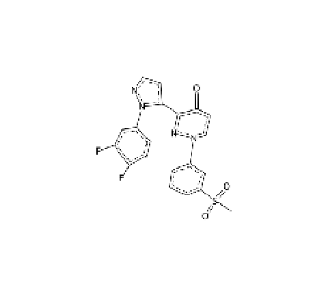 CS(=O)(=O)c1cccc(-n2ccc(=O)c(-c3ccnn3-c3ccc(F)c(F)c3)n2)c1